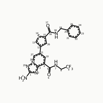 Nc1nc2c(C(=O)NCC(F)(F)F)cc(-c3csc(C(=O)NCc4ccccc4)c3)cn2n1